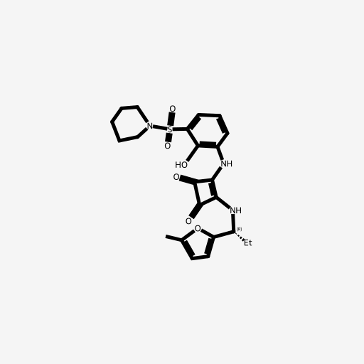 CC[C@@H](Nc1c(Nc2cccc(S(=O)(=O)N3CCCCC3)c2O)c(=O)c1=O)c1ccc(C)o1